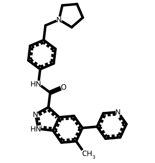 Cc1cc2[nH]nc(C(=O)Nc3ccc(CN4CCCC4)cc3)c2cc1-c1cccnc1